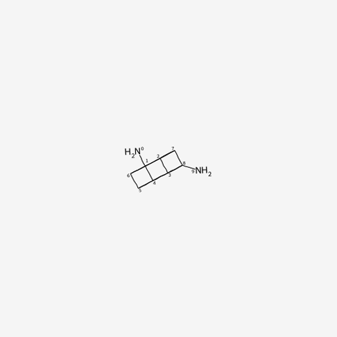 NC12C3C4C1C1C2C3C41N